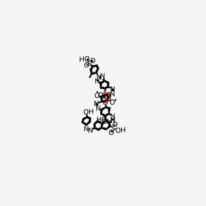 COc1cc(/N=N\c2c(S(=O)(=O)O)cc3cc(/N=N\c4ccc(O)cc4)ccc3c2O)c(O)cc1/N=N\c1cc(OC)c(/N=N\c2cc3nn(-c4ccc(S(=O)(=O)O)cc4C)nc3cc2S(=O)(=O)O)cc1OC